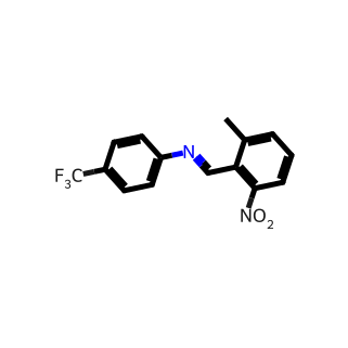 Cc1cccc([N+](=O)[O-])c1C=Nc1ccc(C(F)(F)F)cc1